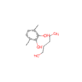 Cc1ccc(C)c(O)c1O.OCCCCO